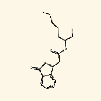 CCCCCC(CC)OC(=O)CC1CC(=O)c2ccccc21